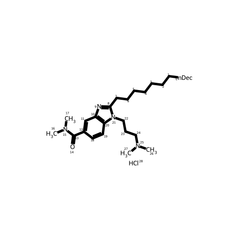 CCCCCCCCCCCCCCCCCc1nc2cc(C(=O)N(C)C)ccc2n1CCCN(C)C.Cl